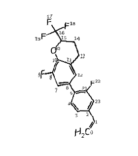 C=Cc1ccc(-c2cc(F)c3c(c2)CCC(C(F)(F)F)O3)c(F)c1